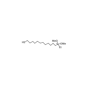 CC[Si](CCCCCCCCCCCCS)(OC)OC